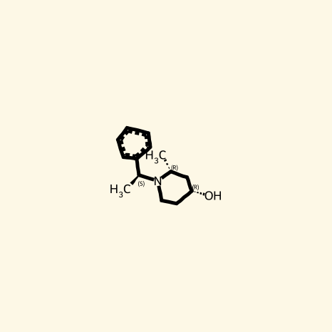 C[C@@H]1C[C@H](O)CCN1[C@@H](C)c1ccccc1